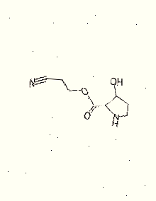 N#CCCOC(=O)[C@H]1NCCC1O